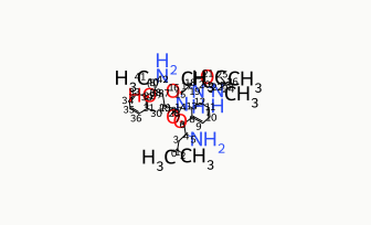 CC(C)CC(N)C(=O)c1ccccc1N(C(=O)C(C)NC(=O)NC(C)(C)C)C(=O)[C@H](Cc1ccccc1)C[C@H](O)[C@H](C)N